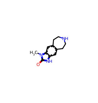 Cn1c(=O)[nH]c2cc3c(cc21)CCNCC3